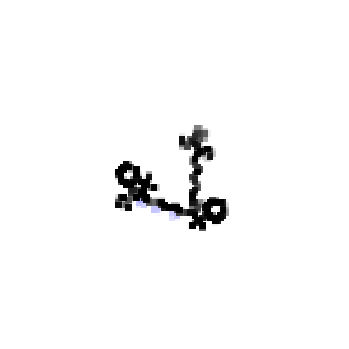 CCNC(=O)CCCCC[N+]1=C(/C=C/C=C/C=C2/N(CC)c3ccccc3C2(C)C)C(C)(C)c2ccccc21